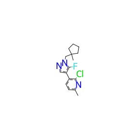 Cc1ccc(-c2cnn(CC3(C)CCCC3)c2F)c(Cl)n1